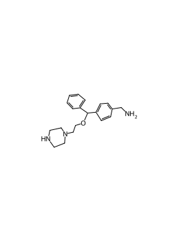 NCc1ccc(C(OCCN2CCNCC2)c2ccccc2)cc1